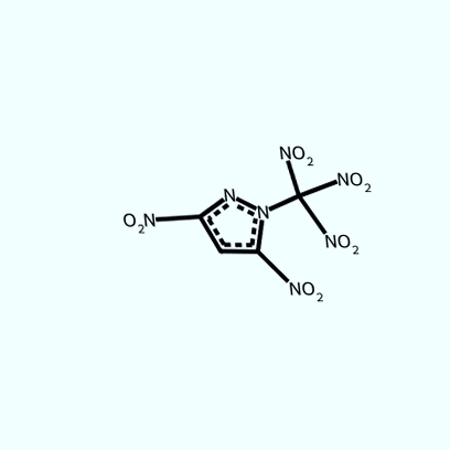 O=[N+]([O-])c1cc([N+](=O)[O-])n(C([N+](=O)[O-])([N+](=O)[O-])[N+](=O)[O-])n1